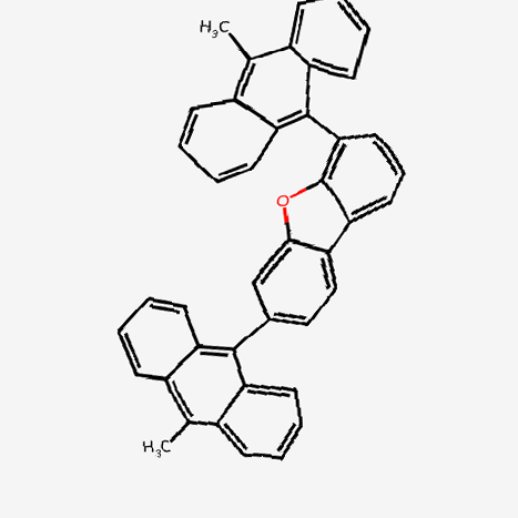 Cc1c2ccccc2c(-c2ccc3c(c2)oc2c(-c4c5ccccc5c(C)c5ccccc45)cccc23)c2ccccc12